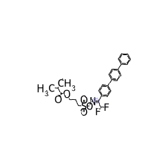 CC(C)C(=O)OCCCS(=O)(=O)O/N=C(/c1ccc(-c2ccc(-c3ccccc3)cc2)cc1)C(F)F